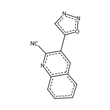 N#Cc1nc2ccccc2cc1-c1cnno1